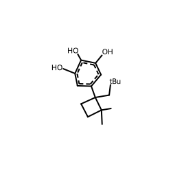 CC(C)(C)CC1(c2cc(O)c(O)c(O)c2)CCC1(C)C